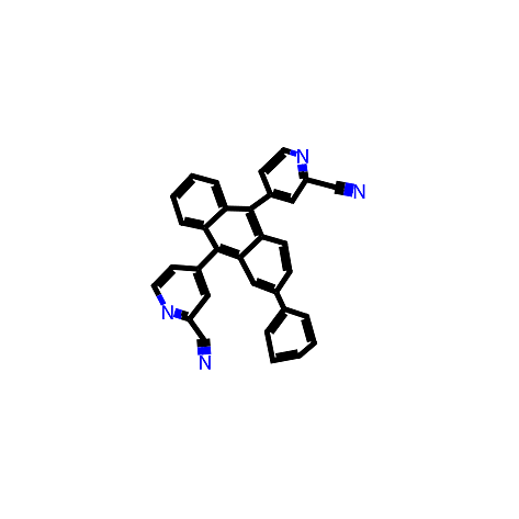 N#Cc1cc(-c2c3ccccc3c(-c3ccnc(C#N)c3)c3cc(-c4ccccc4)ccc23)ccn1